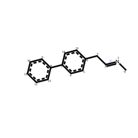 C/N=C/Cc1ccc(-c2ccccc2)cc1